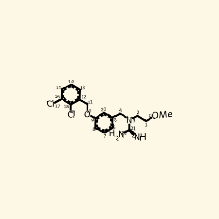 COCCN(Cc1cccc(OCc2cccc(Cl)c2Cl)c1)C(=N)N